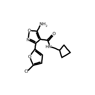 Nc1onc(-c2ccc(Cl)o2)c1C(=O)NC1CCC1